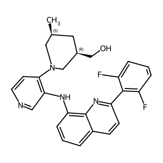 C[C@H]1C[C@@H](CO)CN(c2ccncc2Nc2cccc3ccc(-c4c(F)cccc4F)nc23)C1